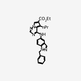 CCCc1c(C(=O)OCC)cn2ncnc(Nc3ccc4c(cnn4Cc4ccccc4)c3)c12